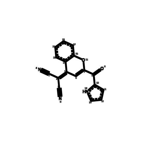 N#CC(C#N)=C1C=C(C(=O)c2ccc[nH]2)Oc2ccccc21